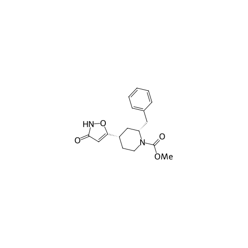 COC(=O)N1CC[C@H](c2cc(=O)[nH]o2)C[C@@H]1Cc1ccccc1